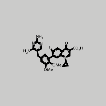 COc1cc(Cc2cnc(N)nc2N)cc(-c2cc3c(cc2F)c(=O)c(C(=O)O)cn3C2CC2)c1OC